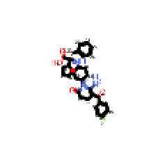 Nc1c(C(=O)c2ccc(F)cc2)ccc(=O)n1C1CCC(N[C@](Cc2ccccc2)(C(=O)O)C2CCCC2)CC1